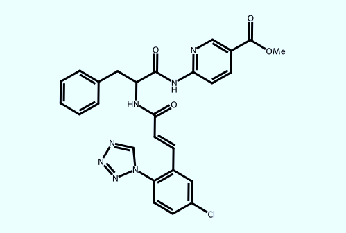 COC(=O)c1ccc(NC(=O)C(Cc2ccccc2)NC(=O)C=Cc2cc(Cl)ccc2-n2cnnn2)nc1